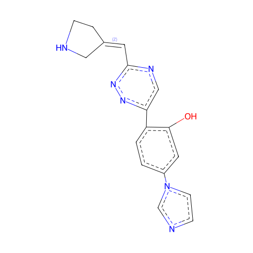 Oc1cc(-n2ccnc2)ccc1-c1cnc(/C=C2/CCNC2)nn1